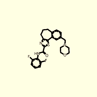 O=C(Nc1c(F)cccc1F)c1nc2c(s1)-c1cc(CN3CCOCC3)ccc1CCC2